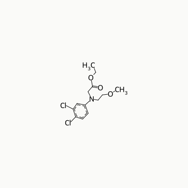 CCOC(=O)CN(CCOC)c1ccc(Cl)c(Cl)c1